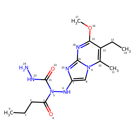 CCCC(=O)N(Nc1cn2c(C)c(CC)c(OC)nc2n1)C(=O)NN